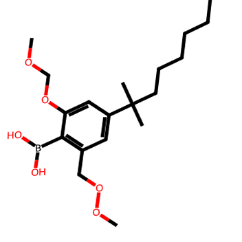 CCCCCCC(C)(C)c1cc(COOC)c(B(O)O)c(OCOC)c1